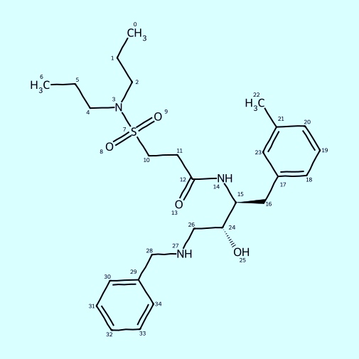 CCCN(CCC)S(=O)(=O)CCC(=O)N[C@@H](Cc1cccc(C)c1)[C@H](O)CNCc1ccccc1